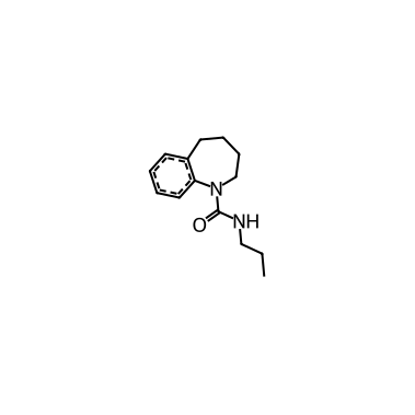 CCCNC(=O)N1CCCCc2ccccc21